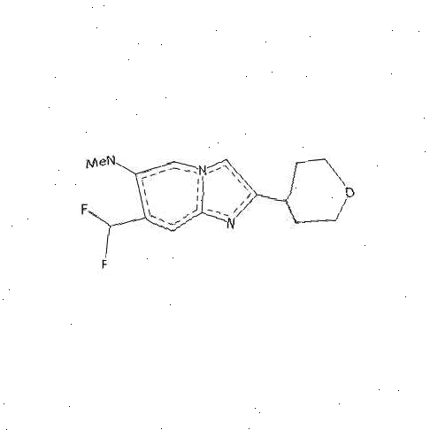 CNc1cn2cc(C3CCOCC3)nc2cc1C(F)F